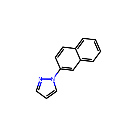 c1ccc2cc(-n3cccn3)ccc2c1